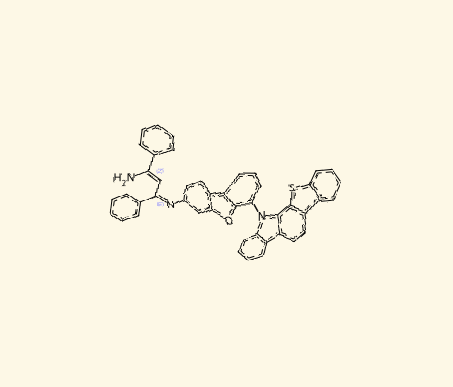 N/C(=C\C(=N/c1ccc2c(c1)oc1c(-n3c4ccccc4c4ccc5c6ccccc6sc5c43)cccc12)c1ccccc1)c1ccccc1